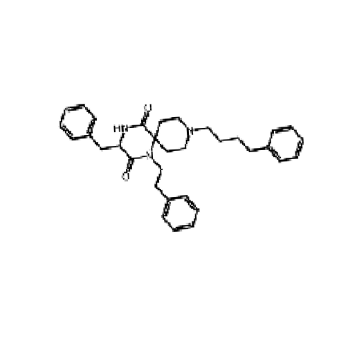 O=C1C(Cc2ccccc2)NC(=O)C2(CCN(CCCCc3ccccc3)CC2)N1CCc1ccccc1